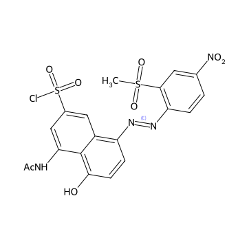 CC(=O)Nc1cc(S(=O)(=O)Cl)cc2c(/N=N/c3ccc([N+](=O)[O-])cc3S(C)(=O)=O)ccc(O)c12